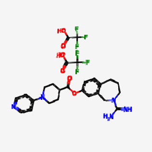 N=C(N)N1CCCc2ccc(OC(=O)C3CCN(c4ccncc4)CC3)cc2C1.O=C(O)C(F)(F)F.O=C(O)C(F)(F)F